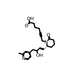 Cc1cc(CC(O)/C=C/[C@H]2CCCC(=O)N2CC#CCCCC(=O)O)ccn1